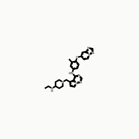 CCNC1CCN(Cc2ccn3ncnc(Nc4ccc(Oc5ccn6ncnc6c5)c(C)c4)c23)CC1